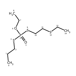 CCCSP(=O)(OCC)SCCSCC